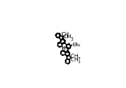 CC(C)(C)c1cc2c3c(c1)-c1cc4c(c5cccc(c15)B3c1cccc3c5c(cc-2c13)C(C)(C)c1ccccc1-5)-c1ccccc1C4(C)C